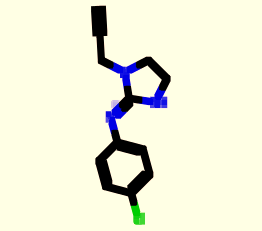 C#CCN1CCN/C1=N\c1ccc(Cl)cc1